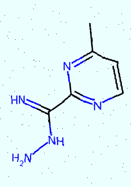 Cc1ccnc(C(=N)NN)n1